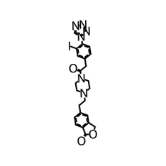 O=C1OCc2cc(CCN3CCN(C(=O)Cc4ccc(-n5cnnn5)c(I)c4)CC3)ccc21